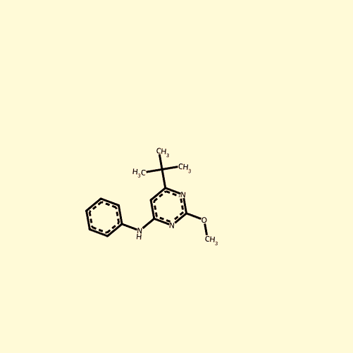 COc1nc(Nc2ccccc2)cc(C(C)(C)C)n1